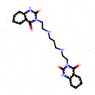 O=c1[nH]c2ccccc2c(=O)n1CCNCCCNCCn1c(=O)[nH]c2ccccc2c1=O